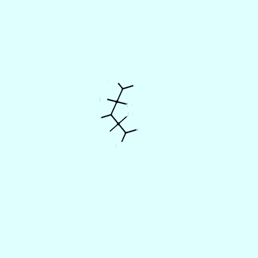 CCC(O)C(CC)(CC)C(O)C(CC)(CC)C(O)CC